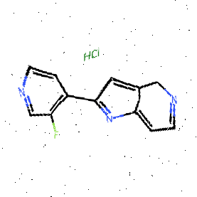 Cl.Fc1cnccc1C1=NC2=CC=NCC2=C1